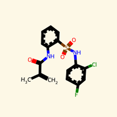 C=C(C)C(=O)Nc1ccccc1S(=O)(=O)Nc1ccc(F)cc1Cl